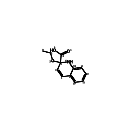 CCOC1(C(=O)O)C=Cc2ccccc2N1